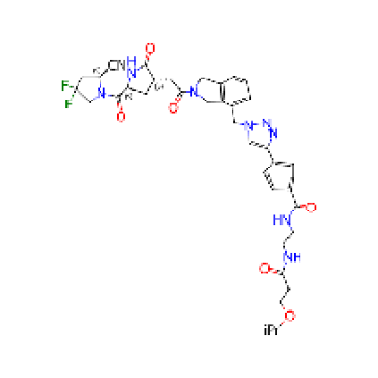 CC(C)OCCC(=O)NCCNC(=O)c1ccc(-c2cn(Cc3cccc4c3CN(C(=O)C[C@@H]3C[C@@H](C(=O)N5CC(F)(F)C[C@H]5C#N)NC3=O)C4)nn2)cc1